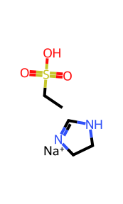 C1=NCCN1.CCS(=O)(=O)O.[Na+]